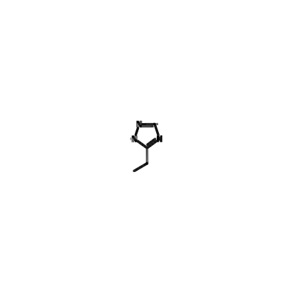 CCC1=N[C]=N[N]1